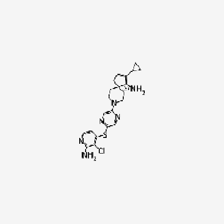 Nc1nccc(Sc2cnc(N3CCC4(CC=C(C5CC5)[C@H]4N)CC3)cn2)c1Cl